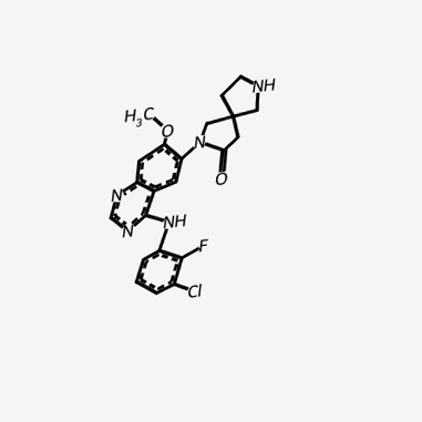 COc1cc2ncnc(Nc3cccc(Cl)c3F)c2cc1N1CC2(CCNC2)CC1=O